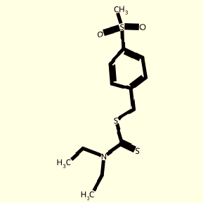 CCN(CC)C(=S)SCc1ccc(S(C)(=O)=O)cc1